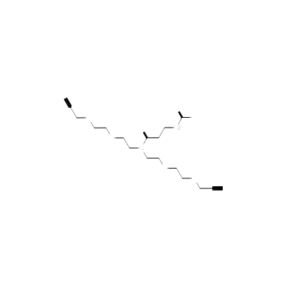 C#CCOCCOCCN(CCOCCOCC#C)C(=O)CCNC(=O)O